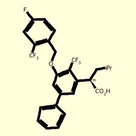 CC(C)C[C@@H](C(=O)O)c1cc(-c2ccccc2)cc(OCc2ccc(F)cc2C(F)(F)F)c1C(F)(F)F